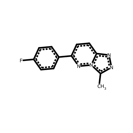 Cc1nnc2ccc(-c3ccc(F)cc3)nn12